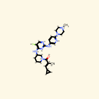 CN1CCN(c2ccc(Nc3ncc(F)c(NC4CCCN(C(=O)C(C#N)=CC5CC5)C4)n3)cn2)CC1